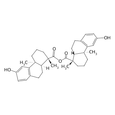 C[C@]1(C(=O)OC(=O)[C@@]2(C)CCC[C@]3(C)c4cc(O)ccc4CC[C@@H]23)CCC[C@]2(C)c3cc(O)ccc3CC[C@H]12